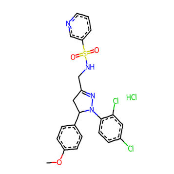 COc1ccc(C2CC(CNS(=O)(=O)c3cccnc3)=NN2c2ccc(Cl)cc2Cl)cc1.Cl